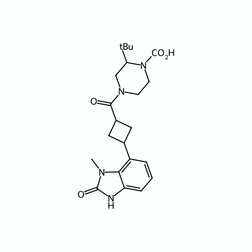 Cn1c(=O)[nH]c2cccc(C3CC(C(=O)N4CCN(C(=O)O)C(C(C)(C)C)C4)C3)c21